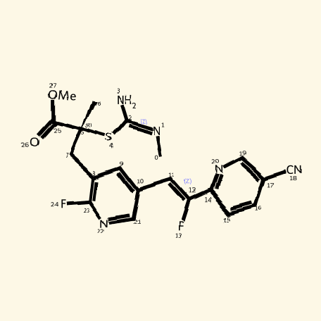 C/N=C(/N)S[C@](C)(Cc1cc(/C=C(\F)c2ccc(C#N)cn2)cnc1F)C(=O)OC